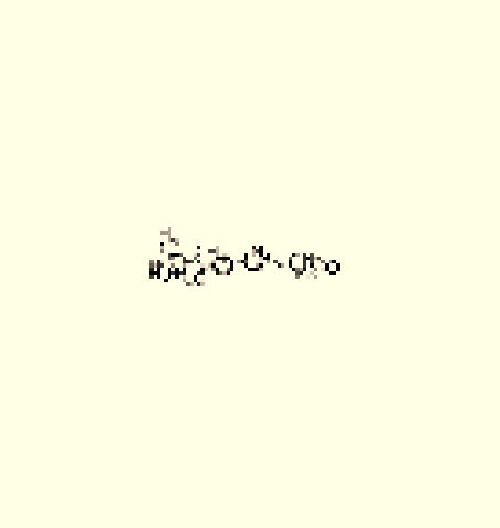 C[C@H](O)C[C@@H](C(N)=O)N(C)C(=O)c1ccc(-c2ccc(OCC3CCN(CC4(C(F)(F)F)CCC4)CC3)nc2)cc1